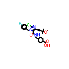 COC(C)(C)C#Cc1nc(Cl)n(Cc2ccc(F)cc2)c1C(=O)NCC1CCC(C(=O)O)CC1